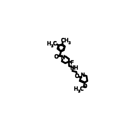 COC1=CC(OCCNCC2(F)CCN(C(=O)c3ccc(C)c(C)c3)CC2)=NCC1